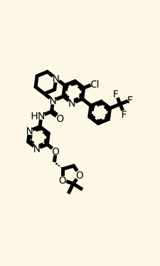 CC1(C)OC[C@@H](COc2cc(NC(=O)N3c4nc(-c5cccc(C(F)(F)F)c5)c(Cl)cc4N4CCCC3C4)ncn2)O1